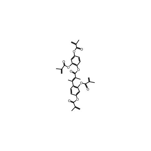 C=C(C)C(=O)Oc1ccc(OC(=O)/C(C)=C(\C)c2ccc(OC(=O)C(=C)C)cc2OC(=O)C(=C)C)c(OC(=O)C(=C)C)c1